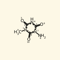 Cn1c(=O)[nH]c(=O)n(N)c1=O